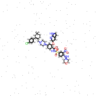 CC1(C)CCC(CN2CCN(c3ccc(C(=O)NS(=O)(=O)c4ccc(NN5CCOCC5)c([N+](=O)[O-])c4)c(Oc4cnc5[nH]ccc5c4)c3)CC2)=C(c2ccc(Cl)cc2)C1